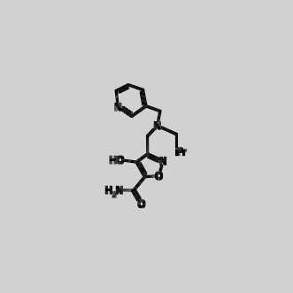 CC(C)CN(Cc1cccnc1)Cc1noc(C(N)=O)c1O